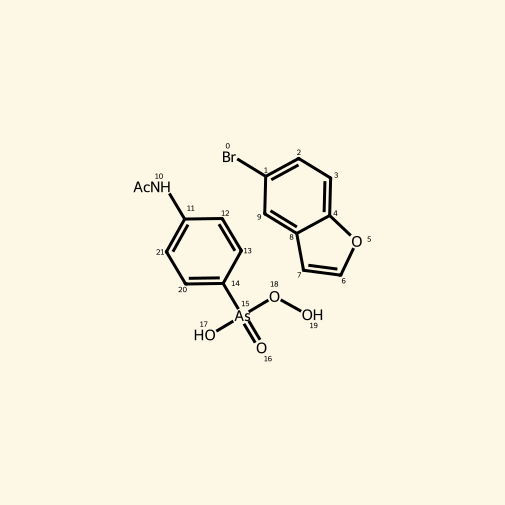 Brc1ccc2occc2c1.CC(=O)Nc1ccc([As](=O)(O)OO)cc1